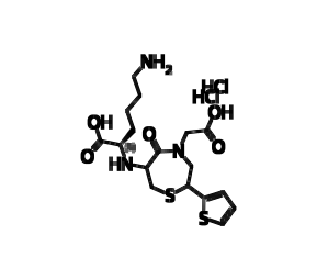 Cl.Cl.NCCCC[C@@H](NC1CSC(c2cccs2)CN(CC(=O)O)C1=O)C(=O)O